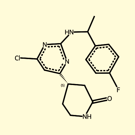 CC(Nc1nc(Cl)cc([C@H]2CCNC(=O)C2)n1)c1ccc(F)cc1